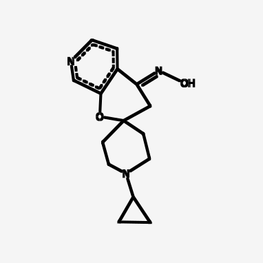 O/N=C1\CC2(CCN(C3CC3)CC2)Oc2cnccc21